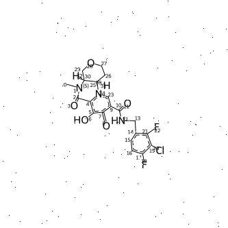 CN1C(=O)c2c(O)c(=O)c(C(=O)NCc3ccc(F)c(Cl)c3F)cn2[C@@H]2CCOC[C@H]21